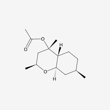 CC(=O)O[C@@]1(C)C[C@H](C)O[C@@H]2C[C@H](C)CC[C@H]21